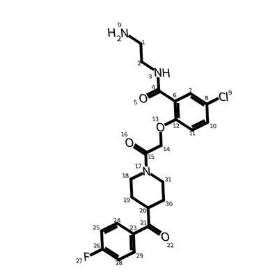 NCCNC(=O)c1cc(Cl)ccc1OCC(=O)N1CCC(C(=O)c2ccc(F)cc2)CC1